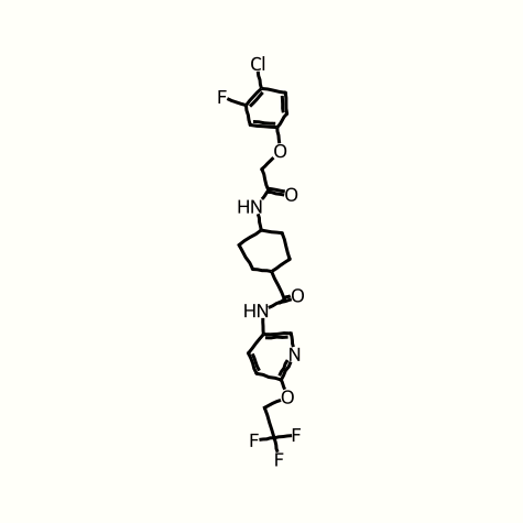 O=C(COc1ccc(Cl)c(F)c1)NC1CCC(C(=O)Nc2ccc(OCC(F)(F)F)nc2)CC1